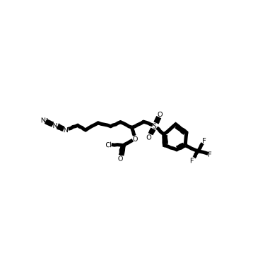 [N-]=[N+]=NCCCCCC(CS(=O)(=O)c1ccc(C(F)(F)F)cc1)OC(=O)Cl